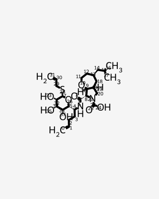 C=CCCC(NC(=O)[C@@H]1[C@@H]2OCC[C@@H](CC(C)C)C[C@H]2CN1C(=O)O)[C@H]1O[C@H](SCC=C)[C@H](O)[C@@H](O)[C@H]1O